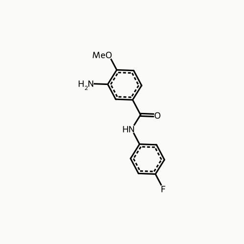 COc1ccc(C(=O)Nc2ccc(F)cc2)cc1N